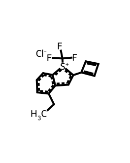 CCc1cccc2c1cc(C1=CC=C1)[s+]2C(F)(F)F.[Cl-]